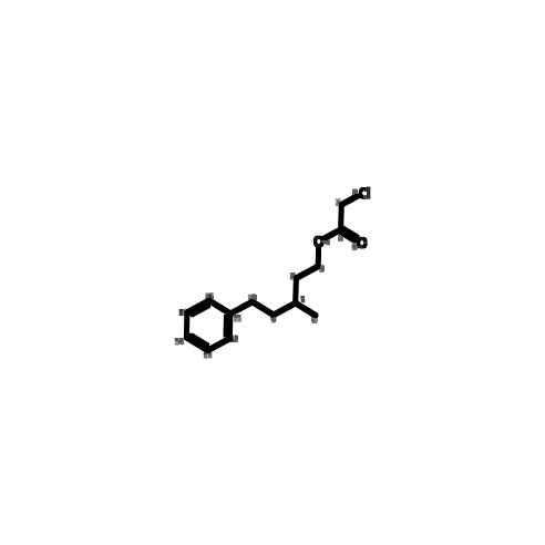 CC(CCOC(=O)CCl)CCc1ccccc1